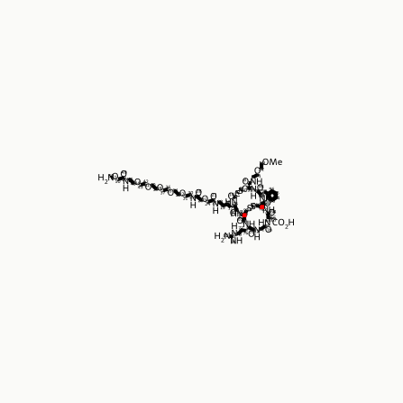 COCCOCCNC(=O)[C@@H]1CSCC(=O)N[C@@H](CCCCNC(=O)COCC(=O)NCCOCCOCCOCCOCCOCCNC(=O)CON)C(=O)N[C@H]2CSSC[C@H](NC(=O)[C@H](CC(=O)O)NC(=O)CNC(=O)[C@H](CCCNC(=N)N)NC2=O)C(=O)N[C@@H](Cc2ccccc2)C(=O)N1